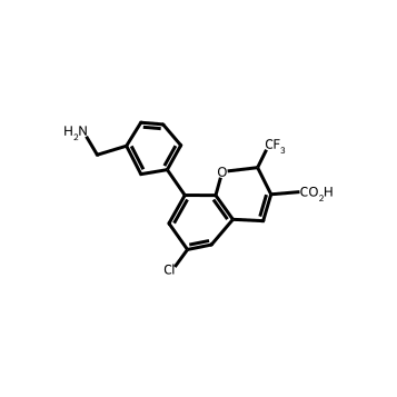 NCc1cccc(-c2cc(Cl)cc3c2OC(C(F)(F)F)C(C(=O)O)=C3)c1